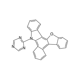 c1ccc2c(c1)oc1c2c2ccccc2c2c1c1ccccc1n2-c1ncncn1